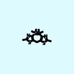 Cc1nc2c(s1)Cc1sc(C)nc1[Si](C)(C)[Si]2(C)C